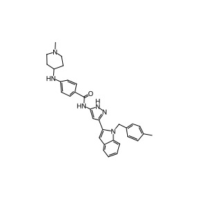 Cc1ccc(Cn2c(-c3cc(NC(=O)c4ccc(NC5CCN(C)CC5)cc4)[nH]n3)cc3ccccc32)cc1